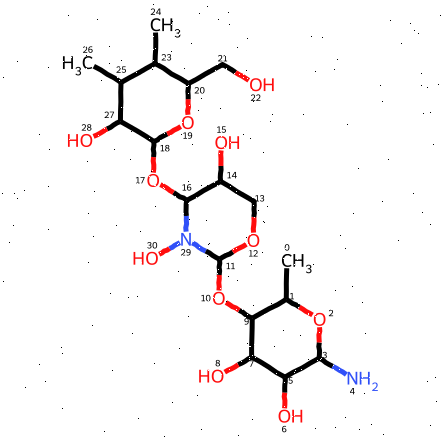 CC1OC(N)C(O)C(O)C1OC1OCC(O)C(OC2OC(CO)C(C)C(C)C2O)N1O